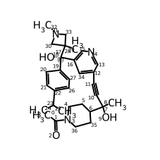 CC(=O)N1CCC(C(C)(O)C#Cc2cncc([C@@](O)(c3ccc(C(C)C)cc3)C3(C)CN(C)C3)c2)CC1